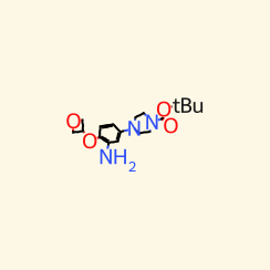 CC(C)(C)OC(=O)N1CCN(c2ccc(OC3COC3)c(N)c2)CC1